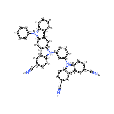 N#Cc1ccc2c(c1)c1cc(C#N)ccc1n2-c1cccc(-n2c3ccc(C#N)cc3c3cc4c(cc32)c2ccccc2n4-c2ccccc2)c1